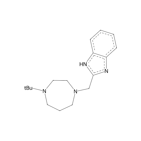 CC(C)(C)N1CCCN(Cc2nc3ccccc3[nH]2)CC1